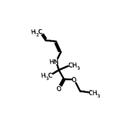 C=C/C=C\NC(C)(C)C(=O)OCC